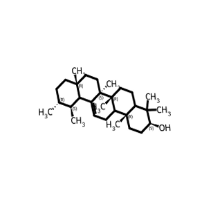 C[C@@H]1CC[C@]2(C)CC[C@]3(C)C(=CCC4[C@@]5(C)CC[C@H](O)C(C)(C)C5CC[C@]43C)C2[C@H]1C